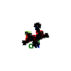 O=C(O[C@@H](Cc1c(Cl)cncc1Cl)c1ccc(OC(F)F)c(OCC2CC2)c1)c1ccc(OCC2CC2)c(C(=O)OCCN2CCCCC2)c1